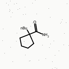 CCCCC1(C(N)=O)CCCC1